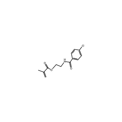 C=C(C)C(=O)OCCNC(=O)c1ccc(Cl)cc1